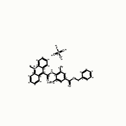 CC(C)c1cc(C(=O)OCc2ccccc2)cc(C(C)C)c1OC(=O)c1c2ccccc2[n+](C)c2ccccc12.O=S(=O)([O-])F